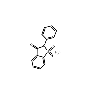 O=C1c2ccccc2S(=O)(=O)N1c1ccccc1.S